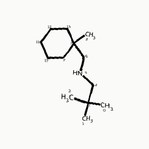 CC(C)(C)CNCC1(C)CCCCC1